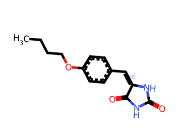 CCCCOc1ccc(/C=C2/NC(=O)NC2=O)cc1